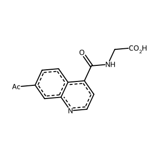 CC(=O)c1ccc2c(C(=O)NCC(=O)O)ccnc2c1